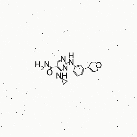 NC(=O)c1cnc(Nc2cccc(C3=CCOCC3)c2)nc1NC1CC1